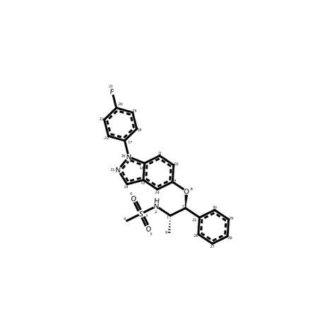 C[C@H](NS(C)(=O)=O)[C@@H](Oc1ccc2c(cnn2-c2ccc(F)cc2)c1)c1ccccc1